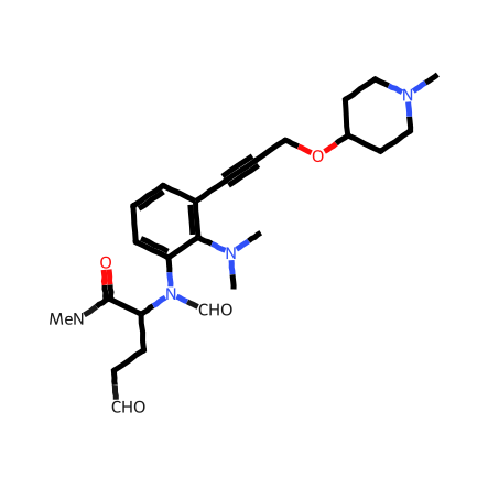 CNC(=O)C(CCC=O)N(C=O)c1cccc(C#CCOC2CCN(C)CC2)c1N(C)C